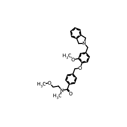 COCCN(C)C(=O)c1ccc(COc2ccc(CN3Cc4ccccc4C3)cc2OC)cc1